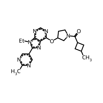 CCn1c(-c2cnc(C)nc2)nc2c(OC3CCN(C(=O)C4CC(C)C4)C3)ncnc21